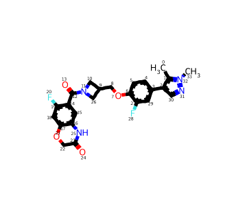 Cc1c(-c2ccc(OCC3CN(C(=O)c4cc5c(cc4F)OCC(=O)N5)C3)c(F)c2)cnn1C